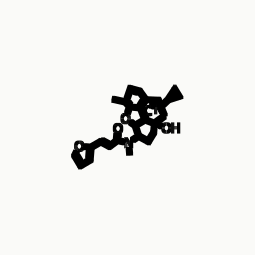 Cc1ccc2c3c1OC1C(N(C)C(=O)/C=C/c4ccco4)CCC4(O)C(C2)N(C2CC2)CCC314